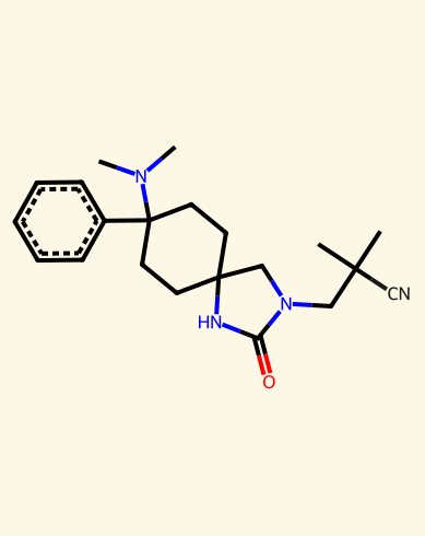 CN(C)C1(c2ccccc2)CCC2(CC1)CN(CC(C)(C)C#N)C(=O)N2